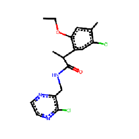 CCOc1cc(C)c(Cl)cc1C(C)C(=O)NCc1nccnc1Cl